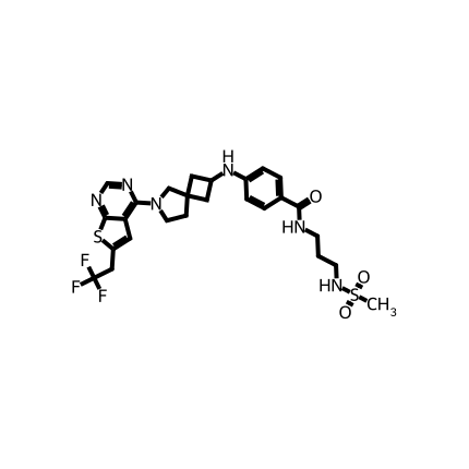 CS(=O)(=O)NCCCNC(=O)c1ccc(NC2CC3(CCN(c4ncnc5sc(CC(F)(F)F)cc45)C3)C2)cc1